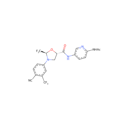 CC(=O)Nc1ccc(NC(=O)[C@@H]2CN(c3ccc(C#N)c(C(F)(F)F)c3)[C@@H](C(F)(F)F)O2)cn1